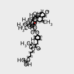 CC(=O)NC(Cc1ccc(OC(=O)OCC(=O)[C@@]23OC(C)(C)O[C@@H]2CC2C4C[C@H](C)C5=CC(=O)C=C[C@]5(C)[C@@]4(F)[C@@H](O)C[C@@]23C)cc1)C(=O)OCCCCON(O)O